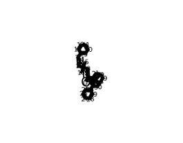 O=C(N1CC2(CN(Cc3ccccc3)C2)C1)C12CC3CC(C1)CC(c1ccccc1)(C3)C2